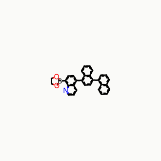 c1ccc2c(-c3ccc(-c4ccc(B5OCCO5)c5ncccc45)c4ccccc34)cccc2c1